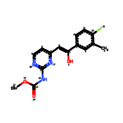 Cc1cc(C(O)=Cc2ccnc(NC(=O)OC(C)(C)C)n2)ccc1F